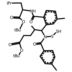 Cc1ccc(C(=O)N(SS)C(c2cc(C)ccc2C(=O)NC(CC(C)C)C(=O)OC(C)(C)C)C(C)CCC(=O)OC(C)(C)C)cc1